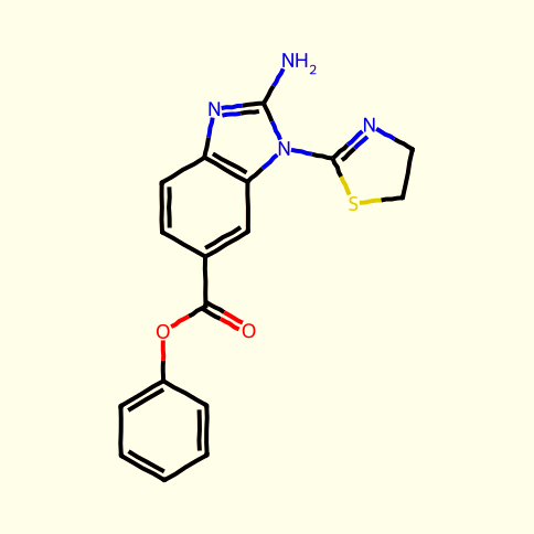 Nc1nc2ccc(C(=O)Oc3ccccc3)cc2n1C1=NCCS1